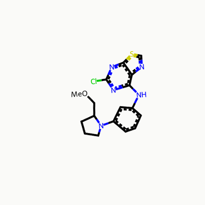 COCC1CCCN1c1cccc(Nc2nc(Cl)nc3scnc23)c1